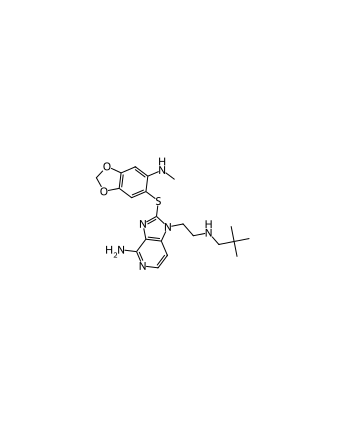 CNc1cc2c(cc1Sc1nc3c(N)nccc3n1CCNCC(C)(C)C)OCO2